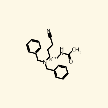 CC(=O)NC[C@@H](CCC#N)N(Cc1ccccc1)Cc1ccccc1